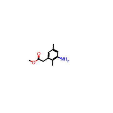 COC(=O)Cc1cc(C)cc(N)c1C